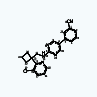 N#Cc1cccc(-c2cnc(NCC3(c4ncccc4Cl)CCC3)nc2)c1